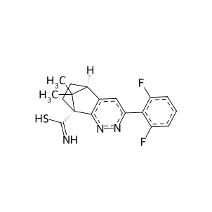 CC1(C)[C@H]2CC[C@]1(C(=N)S)c1nnc(-c3c(F)cccc3F)cc12